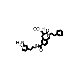 Nc1cc(CCCNC(=O)c2ccc3c(c2)CC(CC(=O)O)C(=O)N(CCc2ccccc2)C3)ccn1